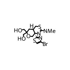 CNC1=N[C@@]2(c3nc(Br)cs3)COC(CO)(CO)C[C@H]2CS1